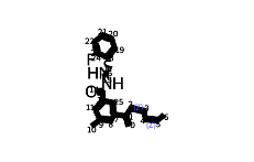 C=C(/C=C\C=C/C)c1cc(C)cc(C(=O)NNSc2ccccc2F)c1